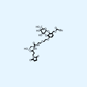 CC(C)(C)C(=O)OCc1ccc(OCCOCCNC(=O)[C@H](CS(=O)(=O)O)NC(=O)CCN2C(=O)C=CC2=O)cc1O[C@@H]1O[C@H](C(=O)O)[C@@H](O)[C@H](O)[C@H]1O